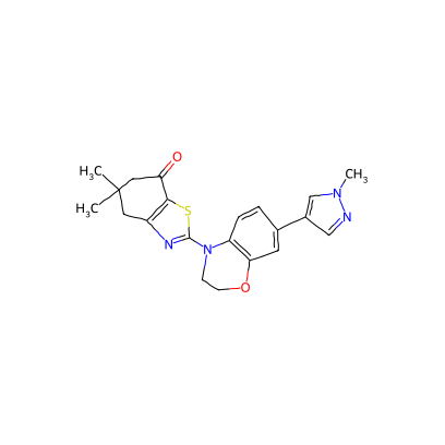 Cn1cc(-c2ccc3c(c2)OCCN3c2nc3c(s2)C(=O)CC(C)(C)C3)cn1